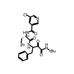 CC(C)C[C@H](NC(=O)c1cncc(Cl)c1)C(=O)NC(Cc1ccccc1)C(=O)C(=O)NC(C)(C)C